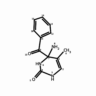 CC1=CNC(=O)NC1(N)C(=O)c1ccccc1